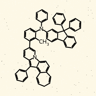 Cc1c(-c2ccc3c(-c4ccccc4)c4c5c(ccc4n3c2)C=CCC=C5)cccc1N(c1ccccc1)c1ccc2c(c1)C(c1ccccc1)(c1ccccc1)c1ccccc1-2